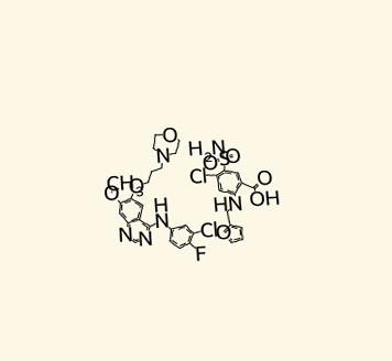 COc1cc2ncnc(Nc3ccc(F)c(Cl)c3)c2cc1OCCCN1CCOCC1.NS(=O)(=O)c1cc(C(=O)O)c(NCc2ccco2)cc1Cl